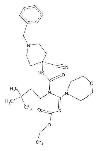 CCOC(=O)N=C(N1CCOCC1)N(CCC(C)(C)C)C(=O)NC1(C#N)CCN(Cc2ccccc2)CC1